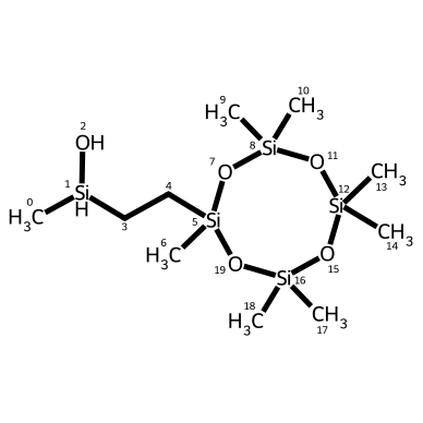 C[SiH](O)CC[Si]1(C)O[Si](C)(C)O[Si](C)(C)O[Si](C)(C)O1